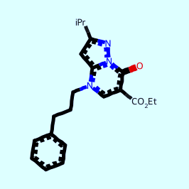 CCOC(=O)c1cn(CCCc2ccccc2)c2cc(C(C)C)nn2c1=O